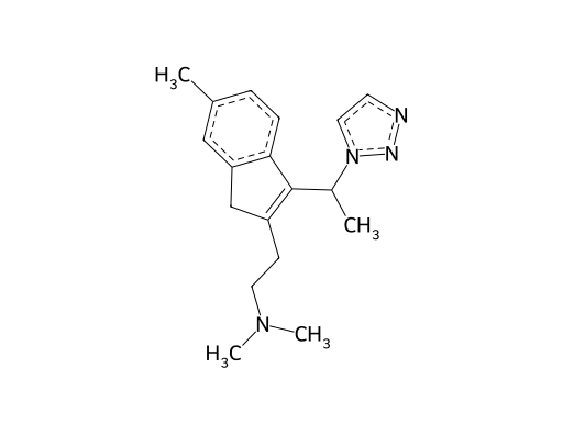 Cc1ccc2c(c1)CC(CCN(C)C)=C2C(C)n1ccnn1